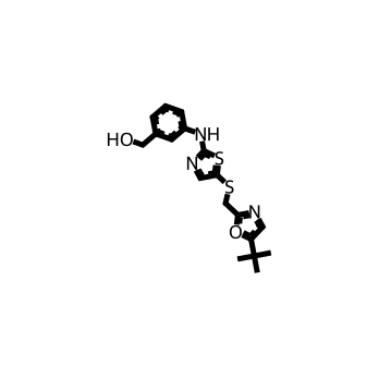 CC(C)(C)c1cnc(CSc2cnc(Nc3cccc(CO)c3)s2)o1